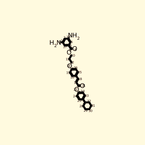 Nc1cc(N)cc(C(=O)OCCCOc2ccc(/C=C/C(=O)Oc3ccc(C4CCCCC4)cc3)cc2)c1